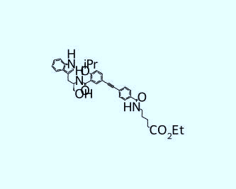 CCOC(=O)CCCCNC(=O)c1ccc(C#Cc2ccc(OC(C)C)c(C(=O)N[C@@H](CO)Cc3c[nH]c4ccccc34)c2)cc1